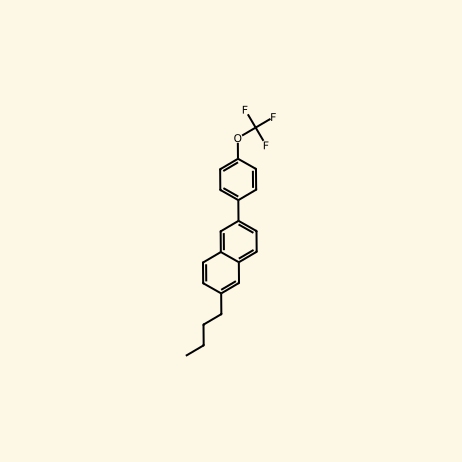 CCCCc1ccc2cc(-c3ccc(OC(F)(F)F)cc3)ccc2c1